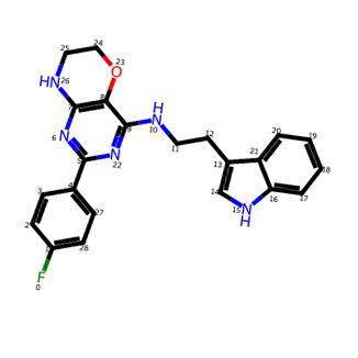 Fc1ccc(-c2nc3c(c(NCCc4c[nH]c5ccccc45)n2)OCCN3)cc1